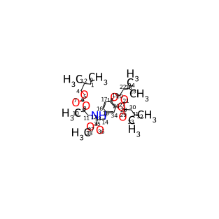 CCC(C)COC(=O)OC(C)CN[C@@H](Cc1ccc(OC(=O)CC(C)C)c(OC(=O)CC(C)C)c1)C(=O)OC